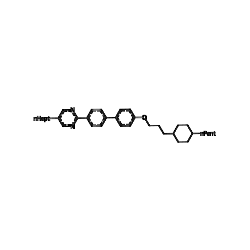 CCCCCCCc1cnc(-c2ccc(-c3ccc(OCCCC4CCC(CCCCC)CC4)cc3)cc2)nc1